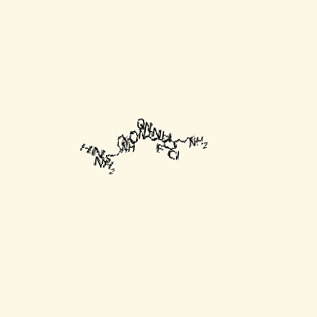 C[C@H](N)CCCc1cc(Cl)c(F)c(-c2cc3cn(-c4ccc([C@@H]5CCCC(CCSC(=N)N)N5)cc4)c(=O)nc3[nH]2)c1